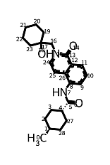 C[C@H]1CC[C@H](C(=O)Nc2cccc3c(=O)n(CC4(O)CCCCC4)ccc23)CC1